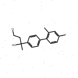 Cc1cc(F)ccc1-c1ccc(C(C)(O)CCCl)cc1